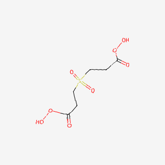 O=C(CCS(=O)(=O)CCC(=O)OO)OO